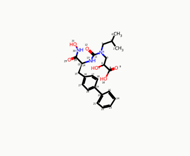 CC(C)CN(CC(O)C(=O)O)C(=O)N[C@@H](Cc1ccc(-c2ccccc2)cc1)C(=O)NO